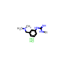 CCNC(=N)Nc1cccc(CN(C)C)c1.Cl.Cl